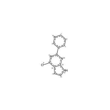 Clc1nc(-c2cccnc2)nc2[nH]ccc12